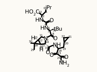 CC(C)CC(NC(=O)N[C@H](C(=O)N1C[C@H]2[C@@H]([C@H]1C(=O)NC(CC1CC1)C(=O)C(N)=O)C2(C)C)C(C)(C)C)C(=O)O